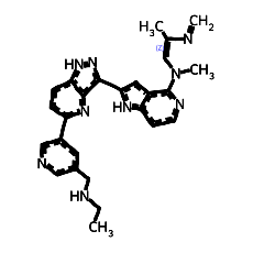 C=N/C(C)=C\N(C)c1nccc2[nH]c(-c3n[nH]c4ccc(-c5cncc(CNCC)c5)nc34)cc12